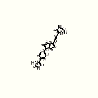 C(#Cc1csc2c(-c3ccc(-c4cnc[nH]4)cc3)csc12)c1cnc[nH]1